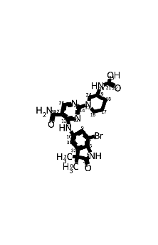 CC1(C)C(=O)Nc2c(Br)cc(Nc3nc(N4CCCC(NC(=O)O)C4)ncc3C(N)=O)cc21